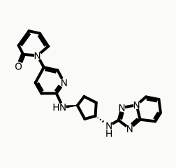 O=c1ccccn1-c1ccc(N[C@H]2CC[C@H](Nc3nc4ccccn4n3)C2)nc1